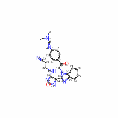 CN(C)C=Nc1ccc(C(=O)Cn2c(-c3nonc3NCCC#N)nc3ccccc32)cc1